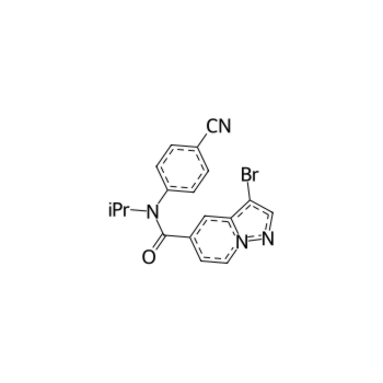 CC(C)N(C(=O)c1ccn2ncc(Br)c2c1)c1ccc(C#N)cc1